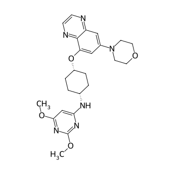 COc1cc(N[C@H]2CC[C@@H](Oc3cc(N4CCOCC4)cc4nccnc34)CC2)nc(OC)n1